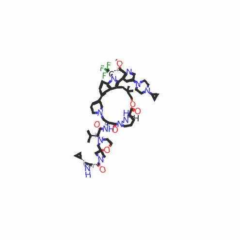 CO[C@@H](C)c1ncc(N2CCN(C3CC3)CC2)cc1-c1c2c3cc(ccc3n1CC(F)(F)F)C1=CCCN(C1)C[C@H](NC(=O)[C@H](C(C)C)N1CCOC3(CN(C(=O)[C@@H]4N[C@@H]4C4CC4)C3)C1)C(=O)N1CCC[C@H](N1)C(=O)OCC(C)(C)C2